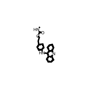 CNC(=O)OCCc1ccc(Nc2c3ccccc3nc3ccccc23)cc1